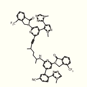 CC(C#Cc1cc(-c2c(-c3nncn3C)cnn2C)cc(N2Cc3c(cccc3C(F)(F)F)C2=O)n1)CCC(C)Nc1cc(-c2cc(C#N)ccc2-c2nncn2C)cc(N2Cc3c(cccc3C(F)(F)F)C2=O)n1